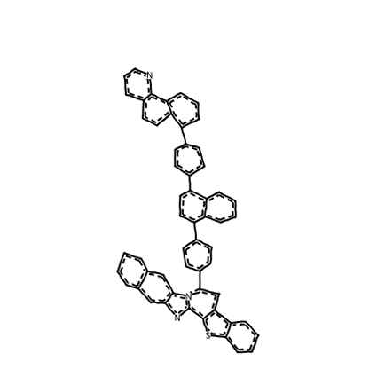 c1ccc2cc3c(cc2c1)nc1c2sc4ccccc4c2cc(-c2ccc(-c4ccc(-c5ccc(-c6cccc7c6ccc6cccnc67)cc5)c5ccccc45)cc2)n31